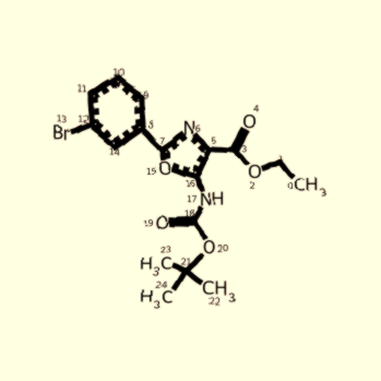 CCOC(=O)c1nc(-c2cccc(Br)c2)oc1NC(=O)OC(C)(C)C